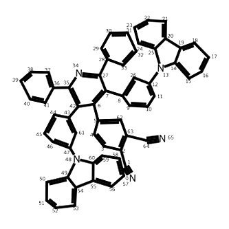 N#Cc1ccc(-c2c(-c3cccc(-n4c5ccccc5c5ccccc54)c3)c(-c3ccccc3)nc(-c3ccccc3)c2-c2cccc(-n3c4ccccc4c4ccccc43)c2)cc1C#N